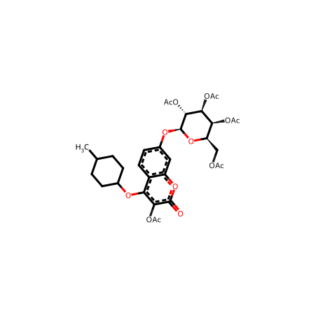 CC(=O)OC[C@H]1O[C@@H](Oc2ccc3c(OC4CCC(C)CC4)c(OC(C)=O)c(=O)oc3c2)[C@H](OC(C)=O)[C@@H](OC(C)=O)[C@H]1OC(C)=O